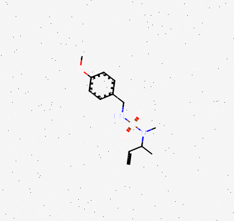 C=CC(C)N(C)S(=O)(=O)NCc1ccc(OC)cc1